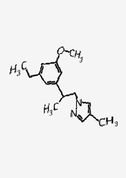 CCc1cc(OC)cc(C(C)Cn2cc(C)cn2)c1